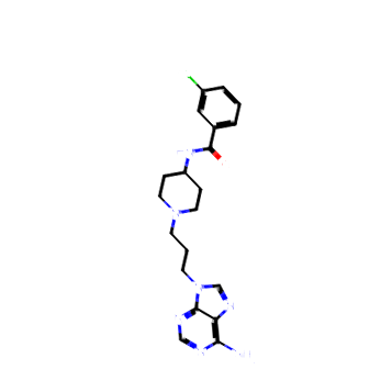 Nc1ncnc2c1ncn2CCCN1CCC(NC(=O)c2cccc(Cl)c2)CC1